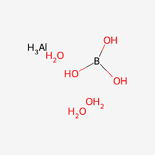 O.O.O.OB(O)O.[AlH3]